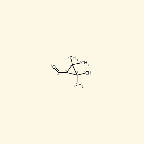 CC1(C)C(C=O)C1(C)C